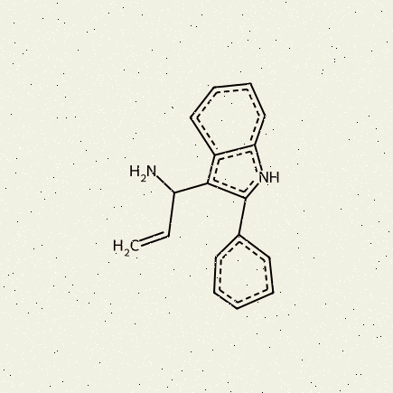 C=CC(N)c1c(-c2ccccc2)[nH]c2ccccc12